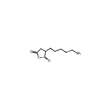 CC(C)CCCCCC1CC(=O)OC1=O